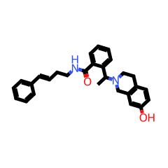 CC(c1ccccc1C(=O)NCCC=Cc1ccccc1)N1CCc2ccc(O)cc2C1